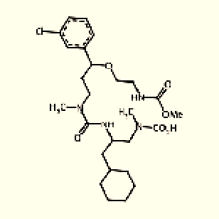 COC(=O)NCCOC(CCN(C)C(=O)NC(CC1CCCCC1)CN(C)C(=O)O)c1cccc(Cl)c1